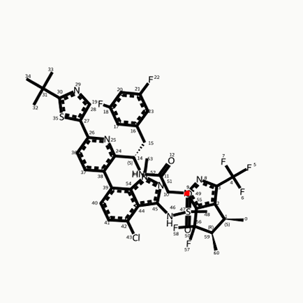 C[C@@H]1c2c(C(F)(F)F)nn(CC(=O)N[C@@H](Cc3cc(F)cc(F)c3)c3nc(-c4cnc(C(C)(C)C)s4)ccc3-c3ccc(Cl)c4c(NS(C)(=O)=O)nn(C)c34)c2C(F)(F)[C@@H]1C